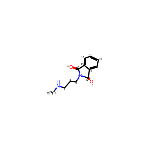 CCCNCCCN1C(=O)c2ccccc2C1=O